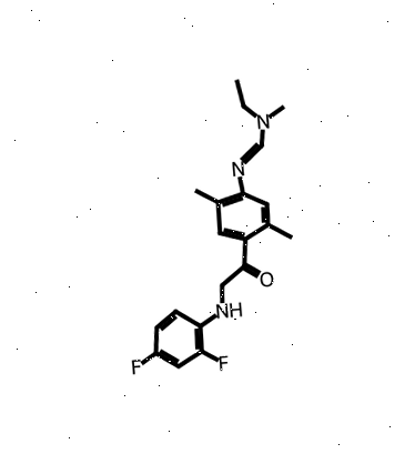 CCN(C)C=Nc1cc(C)c(C(=O)CNc2ccc(F)cc2F)cc1C